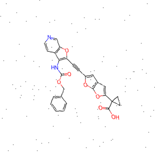 O=C(Nc1c(C#Cc2cc3cc(C4(C(=O)O)CC4)oc3o2)oc2cnccc12)OCc1ccccc1